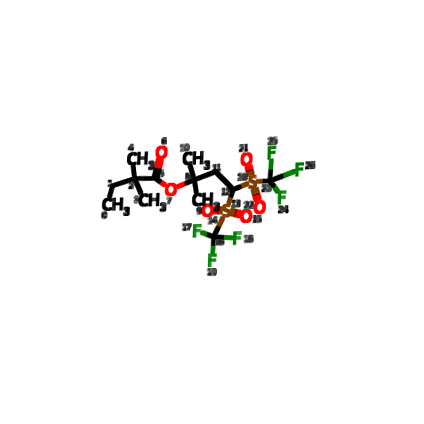 CCC(C)(C)C(=O)OC(C)(C)CC(S(=O)(=O)C(F)(F)F)S(=O)(=O)C(F)(F)F